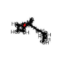 O=C(O)CCC(NC(=O)NC(CCCCNC(=O)CCCCCCCNc1nc(Nc2ccc(CC3CN(CC(=O)O)CCN(CC(=O)O)CCN(CC(=O)O)CCN3CC(=O)O)cc2)nc(N2CCOCC2)n1)C(=O)O)C(=O)O